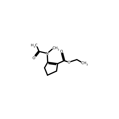 CCOC(=O)C1=C(N(C)C(C)=O)CCC1